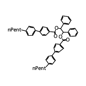 CCCCCc1ccc(-c2ccc(C(=O)OC(c3ccccc3)C(OC(=O)c3ccc(-c4ccc(CCCCC)cc4)cc3)c3ccccc3)cc2)cc1